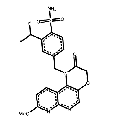 COc1ccc2c3c(cnc2n1)OCC(=O)N3Cc1ccc(S(N)(=O)=O)c(C(F)F)c1